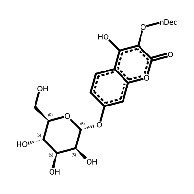 CCCCCCCCCCOc1c(O)c2ccc(O[C@H]3O[C@H](CO)[C@@H](O)[C@H](O)[C@@H]3O)cc2oc1=O